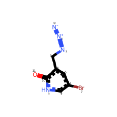 [N-]=[N+]=NCc1cc(Br)c[nH]c1=O